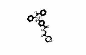 O=C(NCC(=O)N1CCNCC1)c1ccc(S(=O)(=O)N(C(=O)c2ccccc2)c2ccccc2)cc1